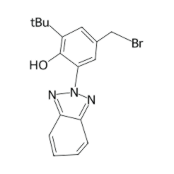 CC(C)(C)c1cc(CBr)cc(-n2nc3ccccc3n2)c1O